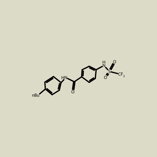 CCCCc1ccc(NC(=O)c2ccc(NS(=O)(=O)C(F)(F)F)cc2)cc1